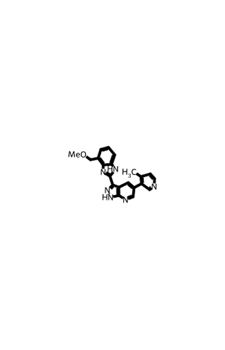 COCc1cccc2[nH]c(-c3n[nH]c4ncc(-c5cnccc5C)cc34)nc12